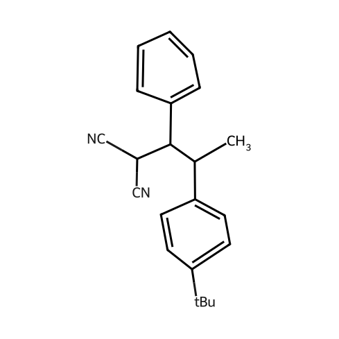 CC(c1ccc(C(C)(C)C)cc1)C(c1ccccc1)C(C#N)C#N